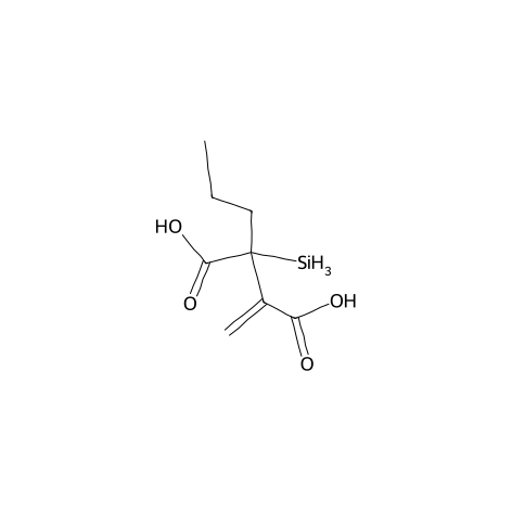 C=C(C(=O)O)C([SiH3])(CCC)C(=O)O